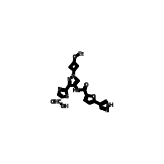 CCOC1CC(n2cc(NC(=O)c3ccc(-c4cn[nH]c4)o3)c(-c3nccs3)n2)C1.O=CO